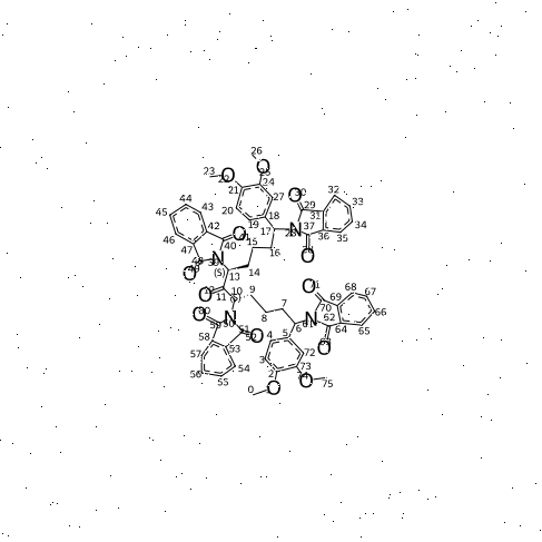 COc1ccc(C(CCC[C@@H](C(=O)[C@H](CCCC(c2ccc(OC)c(OC)c2)N2C(=O)c3ccccc3C2=O)N2C(=O)c3ccccc3C2=O)N2C(=O)c3ccccc3C2=O)N2C(=O)c3ccccc3C2=O)cc1OC